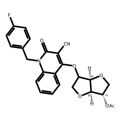 CC(=O)O[C@H]1CO[C@@H]2C(Oc3c(C#N)c(=O)n(Cc4ccc(F)cc4)c4ccccc34)CO[C@H]12